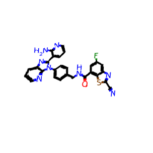 N#Cc1nc2cc(F)cc(C(=O)NCc3ccc(-n4c(-c5cccnc5N)nc5cccnc54)cc3)c2s1